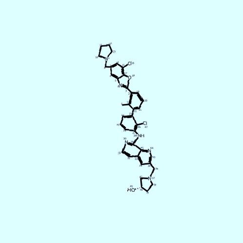 Cc1c(-c2nc3cc(CN4CCCC4)cc(Cl)c3o2)cccc1-c1cccc(Nc2nccc3cc(CN4CC[C@H](O)C4)cnc23)c1Cl